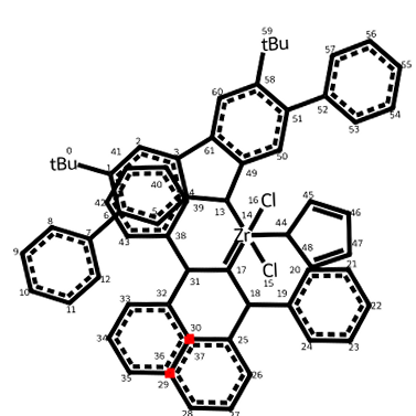 CC(C)(C)c1cc2c(cc1-c1ccccc1)[CH]([Zr]([Cl])([Cl])(=[C](C(c1ccccc1)c1ccccc1)C(c1ccccc1)c1ccccc1)[CH]1C=CC=C1)c1cc(-c3ccccc3)c(C(C)(C)C)cc1-2